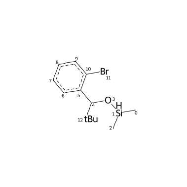 C[SiH](C)OC(c1ccccc1Br)C(C)(C)C